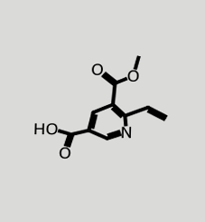 C=Cc1ncc(C(=O)O)cc1C(=O)OC